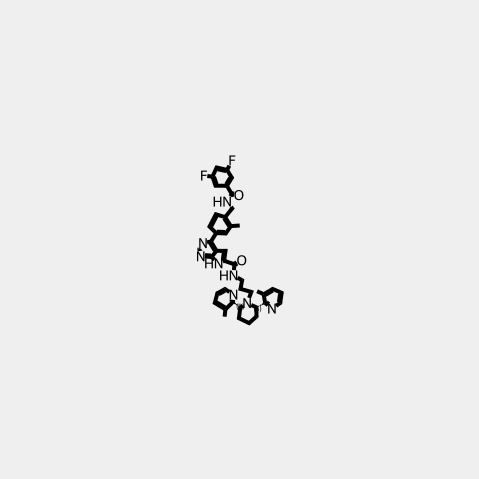 Cc1cc(-c2ncnc3[nH]c(C(=O)NCCCN4[C@@H](c5ncccc5C)CCC[C@H]4c4ncccc4C)cc23)ccc1CNC(=O)c1cc(F)cc(F)c1